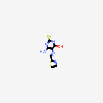 Nc1nc(S)nc(O)c1/N=C/c1nccs1